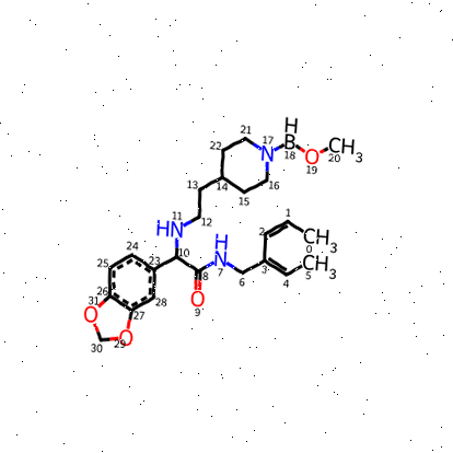 C/C=C\C(=C/C)CNC(=O)C(NCCC1CCN(BOC)CC1)c1ccc2c(c1)OCO2